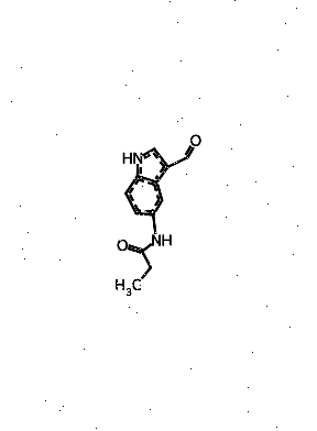 CCC(=O)Nc1ccc2[nH]cc(C=O)c2c1